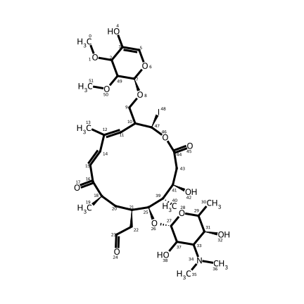 COC1C(O)=CO[C@@H](OCC2/C=C(C)/C=C/C(=O)[C@H](C)C[C@H](CC=O)[C@H](O[C@@H]3OC(C)[C@@H](O)C(N(C)C)C3O)[C@@H](C)[C@H](O)CC(=O)O[C@@H]2I)C1OC